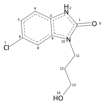 O=c1[nH]c2ccc(Cl)cc2n1CCCO